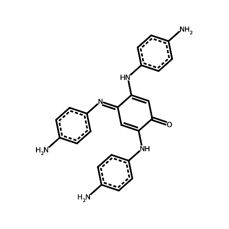 Nc1ccc(N=C2C=C(Nc3ccc(N)cc3)C(=O)C=C2Nc2ccc(N)cc2)cc1